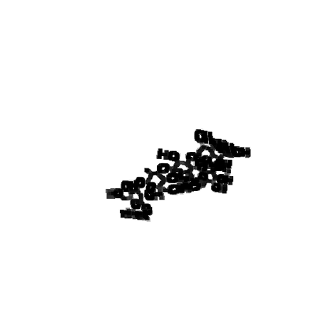 CCCCCCOC1OC(CO)[C@H](O)[C@H](OC2OC(CO)[C@@H](O)[C@H](O[C@@H]3OC(CO)[C@H](OC4OC(CO)[C@H](O)[C@H](O)[C@@H]4N)C(O[C@@]4(C(=O)O)C[C@H](O)[C@H](N)C([C@H](O)[C@H](O)CO)O4)C3O)[C@@H]2C)[C@@H]1O